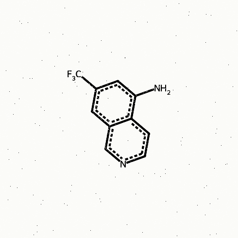 Nc1cc(C(F)(F)F)cc2cnccc12